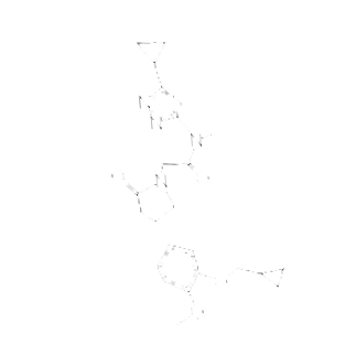 COc1ccc([C@@H]2CC(=O)N(CC(=O)N(C)c3nnc(C4CC4)s3)C2)cc1OCC1CC1